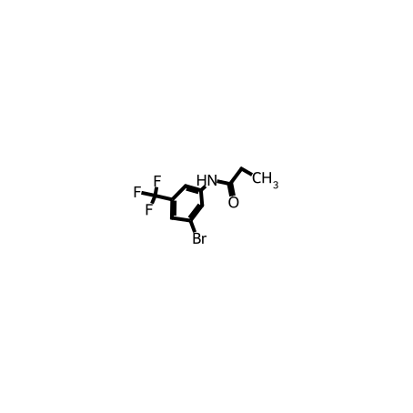 CCC(=O)Nc1cc(Br)cc(C(F)(F)F)c1